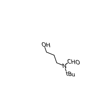 CC(C)(C)N(C=O)CCCO